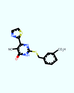 N#Cc1c(-c2nccs2)nc(SCc2cccc(C(=O)O)c2)[nH]c1=O